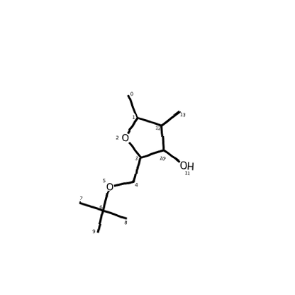 CC1OC(COC(C)(C)C)C(O)C1C